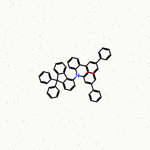 c1ccc(-c2cccc(-c3ccccc3N(c3cccc(-c4ccccc4)c3)c3cccc4c3-c3ccccc3C4(c3ccccc3)c3ccccc3)c2)cc1